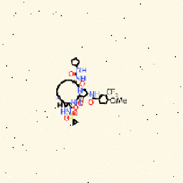 COc1ccc(C(=O)N[C@@H]2C[C@H]3C(=O)N[C@]4(C(=O)NS(=O)(=O)C5CC5)C[C@H]4/C=C\CCCCC[C@H](NC(=O)NC4CCCC4)C(=O)N3C2)cc1C(F)(F)F